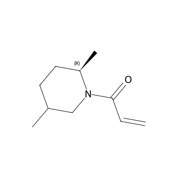 C=CC(=O)N1CC(C)CC[C@H]1C